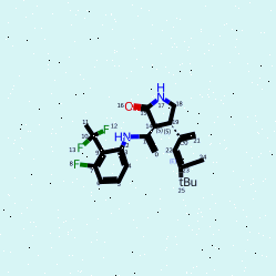 C=C(Nc1cccc(F)c1C(C)(F)F)[C@H]1C(=O)NC[C@@H]1C(=C)/C=C(\C)C(C)(C)C